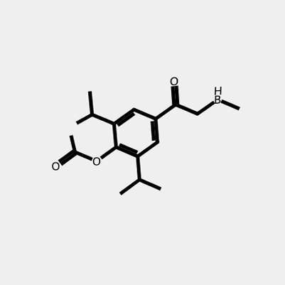 CBCC(=O)c1cc(C(C)C)c(OC(C)=O)c(C(C)C)c1